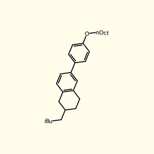 CCCCCCCCOc1ccc(-c2ccc3c(c2)CCC(CC(C)CC)C3)cc1